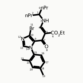 CCCC(CCC)NC=C(C(=O)OCC)C(=O)c1c(Br)ncn1-c1ccc(C)cc1C